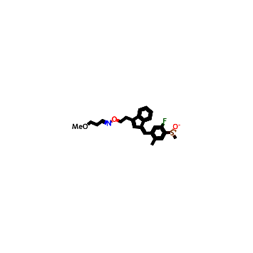 COCCC=NOCCC1=C/C(=C/c2cc(F)c([S+](C)[O-])cc2C)c2ccccc21